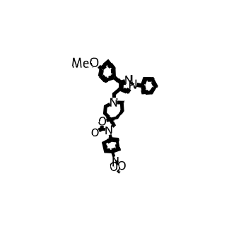 COc1ccc(-c2nn(-c3ccccc3)cc2CN2CCCC3(CC2)CN(c2ccc(N4OCO4)cc2)C(=O)O3)cc1